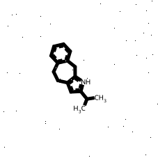 CC(C)c1cc2c([nH]1)Cc1ccccc1CC2